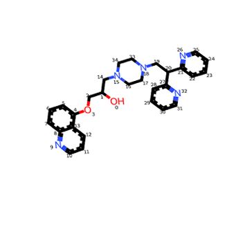 OC(COc1cccc2ncccc12)CN1CCN(CC(c2ccccn2)c2ccccn2)CC1